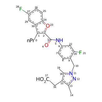 CCCc1c(C(=O)Nc2ccc(Cn3nc(C)c(CC(=O)O)c3C)c(F)c2)oc2ccc(F)cc12